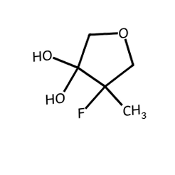 CC1(F)COCC1(O)O